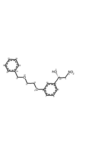 O=[N+]([O-])C[C@@H](O)c1cccc(OCCOCc2ccccc2)c1